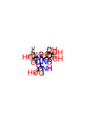 CN[C@@H](CC(=O)O)C(=O)NC(C(=O)N[C@@H](CSC)C(=O)O)C1OC(O)C(O)C(O)C1O